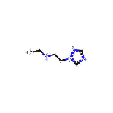 CCNCCn1cncn1